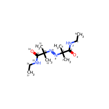 CCNC(=O)C(C)(C)N=NC(C)(C)C(=O)NCC